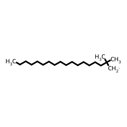 [CH2]C(C)(C)CCCCCCCCCCCCCCCC